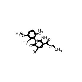 CCOC(=O)c1cc(Br)c(=O)n(-c2c(C)ccc(OC)c2C)c1N